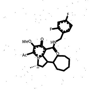 COc1c(C(C)=O)n2c(c(C(=O)NCc3ccc(F)cc3F)c1=O)C(C1CCCCCC1)C[C@@H]2C